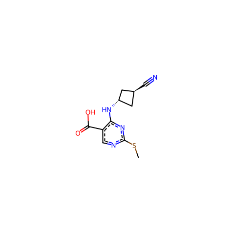 CSc1ncc(C(=O)O)c(N[C@H]2C[C@H](C#N)C2)n1